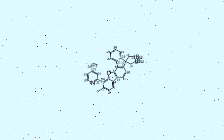 Cc1ccc2c(oc3c4c(ccc32)C(CC(C)(C)C)(CC(C)(C)C)c2ccccc2-4)c1-c1cc(C(C)C)ccn1